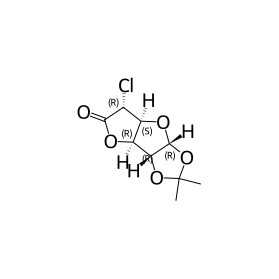 CC1(C)O[C@H]2O[C@H]3[C@H](OC(=O)[C@@H]3Cl)[C@H]2O1